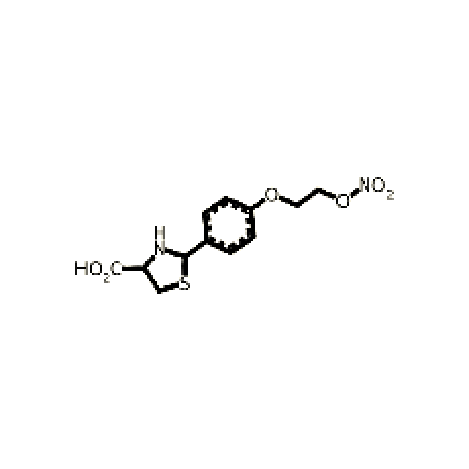 O=C(O)C1CSC(c2ccc(OCCO[N+](=O)[O-])cc2)N1